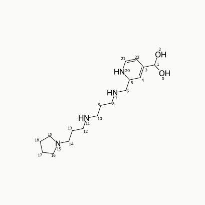 OC(O)C1=CC(CNCCCNCCCN2CCCC2)NC=C1